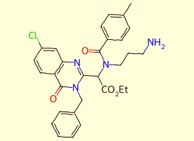 CCOC(=O)C(c1nc2cc(Cl)ccc2c(=O)n1Cc1ccccc1)N(CCCN)C(=O)c1ccc(C)cc1